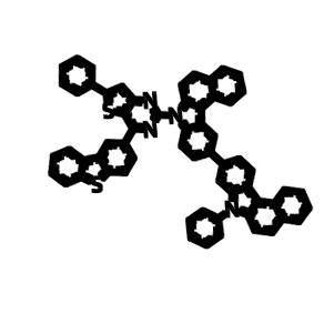 c1ccc(-c2cc3nc(-n4c5ccc(-c6ccc7c8c9ccccc9ccc8n(-c8ccccc8)c7c6)cc5c5c6ccccc6ccc54)nc(-c4ccc5sc6ccccc6c5c4)c3s2)cc1